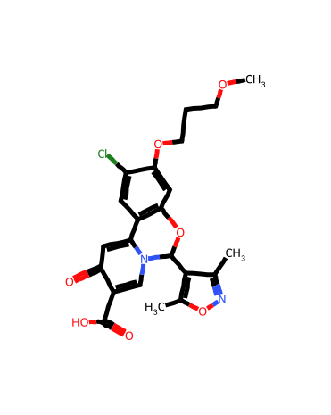 COCCCOc1cc2c(cc1Cl)-c1cc(=O)c(C(=O)O)cn1C(c1c(C)noc1C)O2